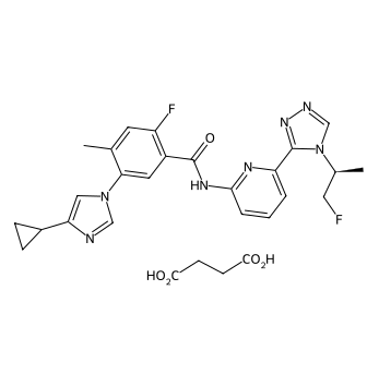 Cc1cc(F)c(C(=O)Nc2cccc(-c3nncn3[C@@H](C)CF)n2)cc1-n1cnc(C2CC2)c1.O=C(O)CCC(=O)O